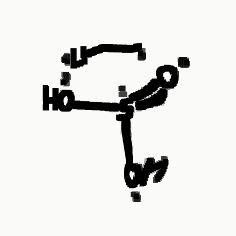 O=S(O)O.[Li][CH3]